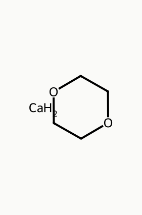 C1COCCO1.[CaH2]